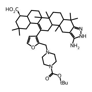 CC1(C)CC2C3=C(c4ccoc4CN4CCN(C(=O)OC(C)(C)C)CC4)CC4C5(C)Cc6c(n[nH]c6N)C(C)(C)C5CCC4(C)C3(C)CCC2[C@H](C(=O)O)C1